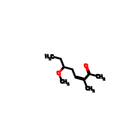 CCC(CC=C(C)C(C)=O)OC